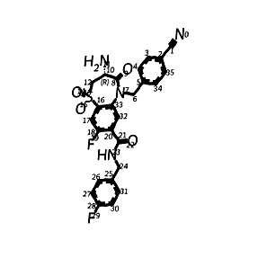 N#Cc1ccc(CN2C(=O)[C@@H](N)CS(=O)(=O)c3cc(F)c(C(=O)NCc4ccc(F)cc4)cc32)cc1